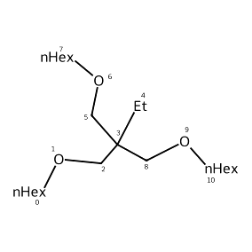 CCCCCCOCC(CC)(COCCCCCC)COCCCCCC